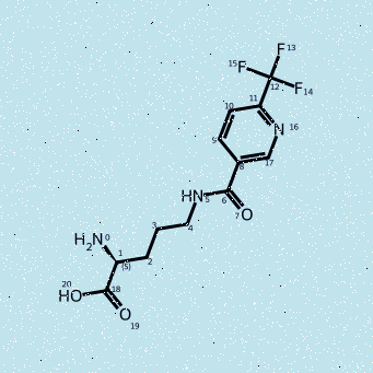 N[C@@H](CCCNC(=O)c1ccc(C(F)(F)F)nc1)C(=O)O